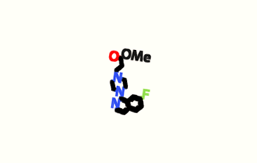 COC(=O)CCN1CCN(c2nccc3ccc(F)cc23)CC1